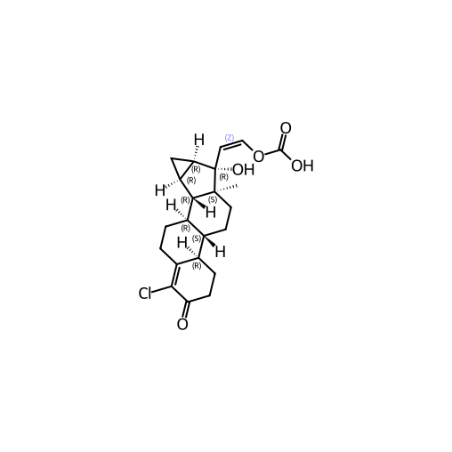 C[C@]12CC[C@H]3[C@@H](CCC4=C(Cl)C(=O)CC[C@@H]43)[C@@H]1[C@H]1C[C@H]1[C@@]2(O)/C=C\OC(=O)O